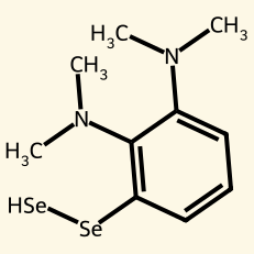 CN(C)c1cccc([Se][SeH])c1N(C)C